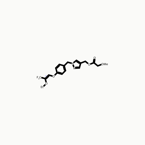 CCO/C(=C\Oc1ccc(Cn2cc(COC(=O)COC)cn2)cc1)C(F)(F)F